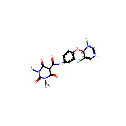 CN1C(=O)C(C(=O)Nc2ccc(OC3C(Cl)=CN=CN3Cl)cc2)C(=O)N(C)C1=O